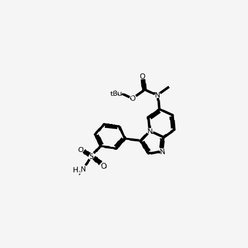 CN(C(=O)OC(C)(C)C)c1ccc2ncc(-c3cccc(S(N)(=O)=O)c3)n2c1